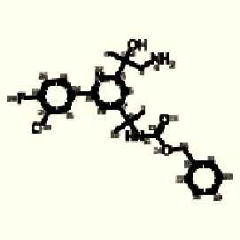 CC(O)(CN)c1cc(C(C)(C)NC(=O)OCc2ccccc2)cc(-c2ccc(F)c(Cl)c2)n1